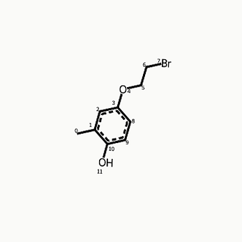 Cc1cc(OCCBr)ccc1O